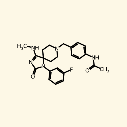 CNC1=NC(=O)N(c2cccc(F)c2)C12CCN(Cc1ccc(NC(C)=O)cc1)CC2